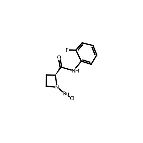 O=C(Nc1ccccc1F)[C@@H]1CC[N]1[Ru][Cl]